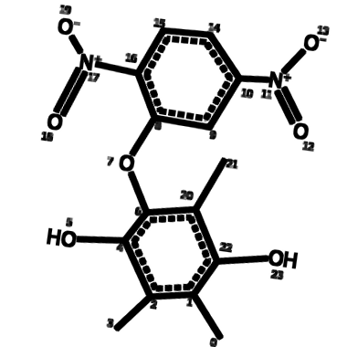 Cc1c(C)c(O)c(Oc2cc([N+](=O)[O-])ccc2[N+](=O)[O-])c(C)c1O